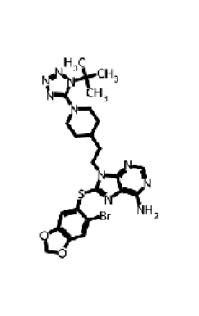 CC(C)(C)n1nnnc1N1CCC(CCn2c(Sc3cc4c(cc3Br)OCO4)nc3c(N)ncnc32)CC1